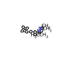 Cc1cnc2c(ccc3c(C)c(C)c(-c4ccc(-c5ccc(-c6ccc7c(c6)C6(c8ccccc8-c8ccccc86)c6ccccc6-7)cc5)c5ccccc45)nc32)c1C